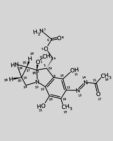 CO[C@@]12[C@H](COC(N)=O)c3c(O)c(N=NC(C)=O)c(C)c(O)c3N1C[C@@H]1N[C@@H]12